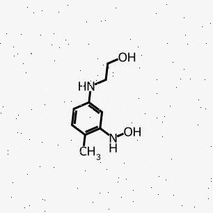 Cc1ccc(NCCO)cc1NO